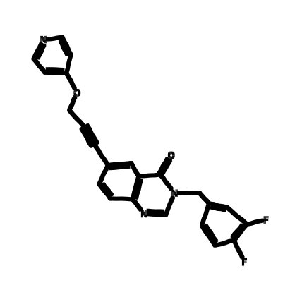 O=c1c2cc(C#CCOc3ccncc3)ccc2ncn1Cc1ccc(F)c(F)c1